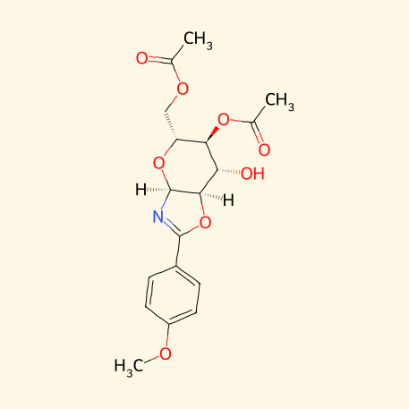 COc1ccc(C2=N[C@H]3O[C@H](COC(C)=O)[C@@H](OC(C)=O)[C@H](O)[C@H]3O2)cc1